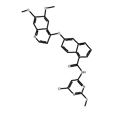 COc1cc2nccc(Oc3ccc4c(C(=O)Nc5cc(Cl)nc(SC)n5)cccc4c3)c2cc1OC